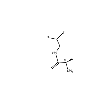 C=C(NCC(F)F)[C@@H](C)N